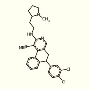 CN1CCCC1CCNc1ncc2c(c1C#N)-c1ccccc1C(c1ccc(Cl)c(Cl)c1)C2